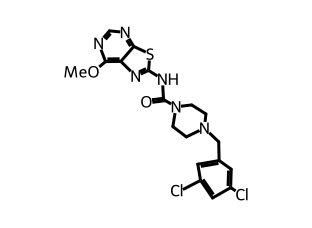 COc1ncnc2sc(NC(=O)N3CCN(Cc4cc(Cl)cc(Cl)c4)CC3)nc12